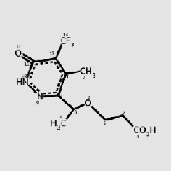 Cc1c(C(C)OCCC(=O)O)n[nH]c(=O)c1C(F)(F)F